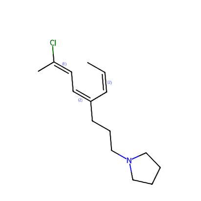 C\C=C/C(=C\C=C(/C)Cl)CCCN1CCCC1